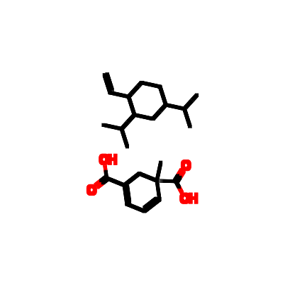 C=CC1CCC(C(C)C)CC1C(C)C.CC1(C(=O)O)C=CC=C(C(=O)O)C1